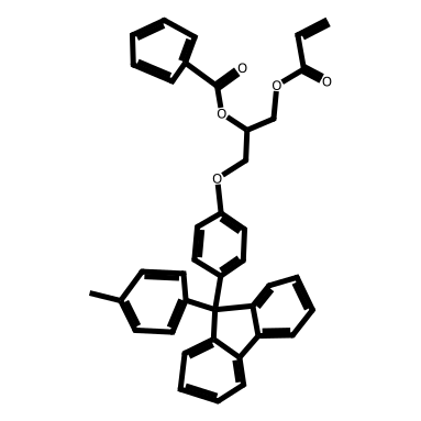 C=CC(=O)OCC(COc1ccc(C2(c3ccc(C)cc3)c3ccccc3-c3ccccc32)cc1)OC(=O)c1ccccc1